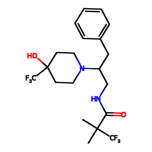 CC(C)(C(=O)NCC(Cc1ccccc1)N1CCC(O)(C(F)(F)F)CC1)C(F)(F)F